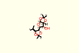 CC(C)=C1OC(C)(C)O[C@H]1[C@H]1OC2OC(C)(C)O[C@@H]2[C@H]1O